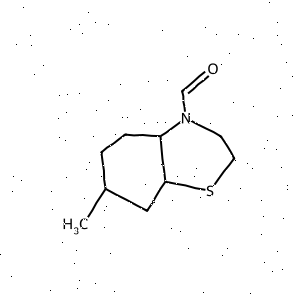 CC1CCC2C(C1)SCCN2C=O